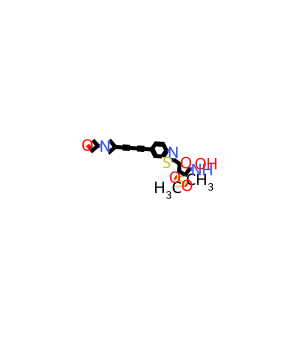 C[C@@](CCc1nc2ccc(C#CC#CC3CN(C4COC4)C3)cc2s1)(C(=O)NO)S(C)(=O)=O